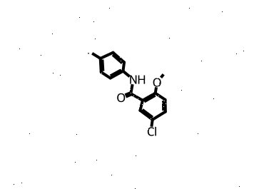 [CH2]c1ccc(NC(=O)c2cc(Cl)ccc2OC)cc1